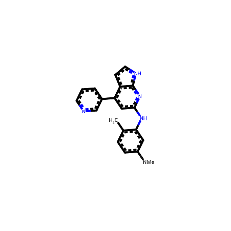 CNc1ccc(C)c(Nc2cc(-c3cccnc3)c3cc[nH]c3n2)c1